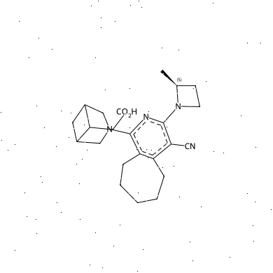 C[C@H]1CCN1c1nc(N2CC3CC(C2)C3CC(=O)O)c2c(c1C#N)CCCCC2